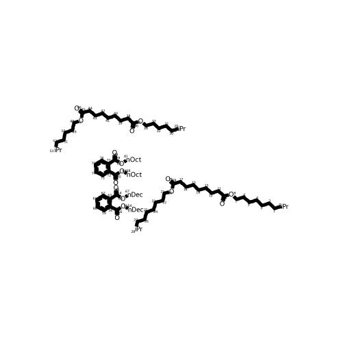 CC(C)CCCCCCCOC(=O)CCCCCCCC(=O)OCCCCCCCC(C)C.CC(C)CCCCCOC(=O)CCCCCCCC(=O)OCCCCCC(C)C.CCCCCCCCCCOC(=O)c1ccccc1C(=O)OCCCCCCCCCC.CCCCCCCCOC(=O)c1ccccc1C(=O)OCCCCCCCC